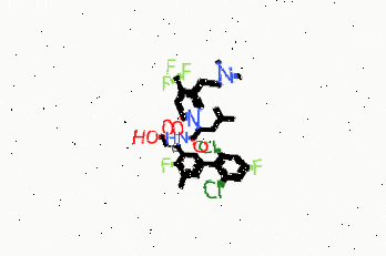 Cc1cc(-c2c(Cl)cc(F)cc2Cl)cc([C@H](CC(=O)O)NC(=O)C(CC(C)C)n2cc(CCN(C)C)c(C(F)(F)F)cc2=O)c1F